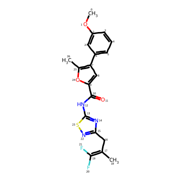 COc1cccc(-c2cc(C(=O)Nc3nc(CC(C)=C(F)F)ns3)oc2C)c1